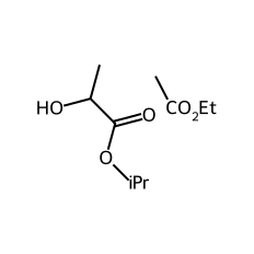 CC(C)OC(=O)C(C)O.CCOC(C)=O